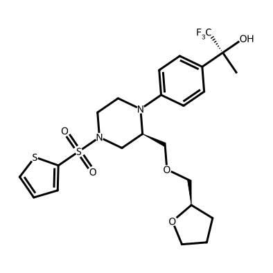 C[C@](O)(c1ccc(N2CCN(S(=O)(=O)c3cccs3)C[C@@H]2COC[C@H]2CCCO2)cc1)C(F)(F)F